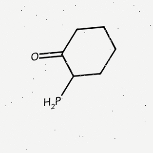 O=C1CCCCC1P